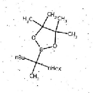 CCCCCCC(C)(CCCC)B1OC(C)(C)C(C)(C)O1